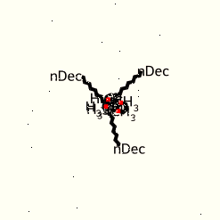 CCCCCCCCCCCCCCCCCC[Si](C)(C)[Si](c1ccccc1)([Si](C)(C)CCCCCCCCCCCCCCCCCC)[Si](C)(C)CCCCCCCCCCCCCCCCCC